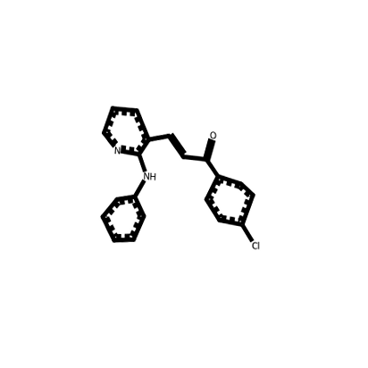 O=C(/C=C/c1cccnc1Nc1ccccc1)c1ccc(Cl)cc1